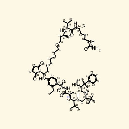 CCc1cc(N[C@H](COCCOCCOCCC(=O)N[C@@H](C(=O)N[C@H](C)CCCNC(N)=O)C(C)C)N2C(=O)C=CC2=O)ccc1S(=O)(=O)NC(=O)/C(C)=C/C(NC[C@@H](N(C)C[C@@H](NC)C(C)(C)c1ccccc1)C(C)(C)C)C(C)C